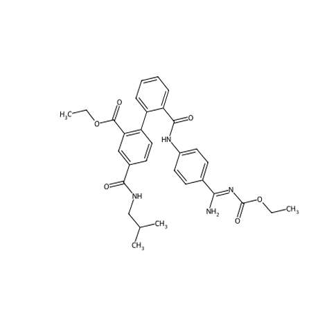 CCOC(=O)N=C(N)c1ccc(NC(=O)c2ccccc2-c2ccc(C(=O)NCC(C)C)cc2C(=O)OCC)cc1